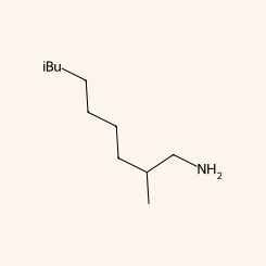 CCC(C)CCCCC(C)CN